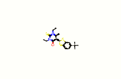 C=c1/c(=C2/Sc3ccc(C(C)(C)C)cc3S2)c(=O)n(CC)c(=S)n1CC